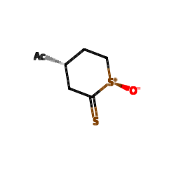 CC(=O)[C@@H]1CC[S@@+]([O-])C(=S)C1